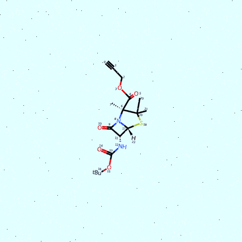 C#CCOC(=O)[C@]1(C)N2C(=O)[C@@H](NC(=O)OC(C)(C)C)[C@H]2SC1(C)C